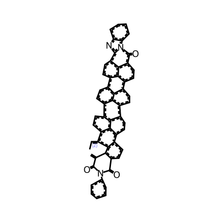 C=C1C(=O)N(c2ccccc2)C(=O)c2ccc3c(c21)/c(=C\C)c1ccc2c4ccc5c6ccc7c8c(ccc(c9ccc(c%10ccc3c1c2%10)c4c59)c68)c(=O)n1c2ccccc2nc71